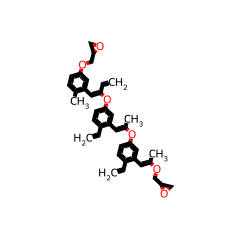 C=C/C(=C\c1cc(OCC2CO2)ccc1C)Oc1ccc(C=C)c(/C=C(\C)Oc2ccc(C=C)c(/C=C(\C)OCC3CO3)c2)c1